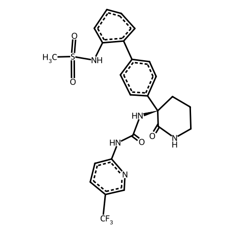 CS(=O)(=O)Nc1ccccc1-c1ccc([C@]2(NC(=O)Nc3ccc(C(F)(F)F)cn3)CCCNC2=O)cc1